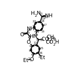 CC(=O)O.CCOc1cc(OCC(N)=O)c(C(Nc2ccc(C(=N)N)cc2)C(=O)O)cc1CC